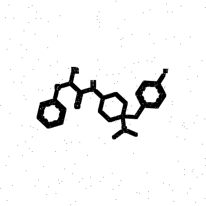 CCC(Oc1ccccc1)C(=O)NC1CCC(Cc2ccc(F)cc2)(N(C)C)CC1